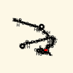 CCCC1O[C@@H]2C[C@H]3[C@@H]4C[C@H](F)C5=CC(=O)C=C[C@]5(C)[C@@]4(F)[C@@H](O)C[C@]3(C)[C@]2(C(=O)COc2ccc(NC(=O)[C@H](C)NC(=O)[C@@H](NC(=O)[C@@H](CCCCNC(=O)COC3CCCCC/C(NCCOCCOCCOCCOCCC(=O)NCC[N+](C)(C)C)=C\3N=N)NC(=O)CCOCCOCCOCCOCCNC(=O)COC3C#CCCCCC3)C(C)C)cc2)O1